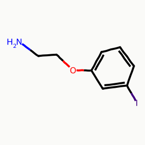 NCCOc1cccc(I)c1